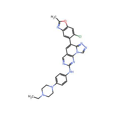 CCN1CCN(c2ccc(Nc3ncc4cc(-c5cc6nc(C)oc6cc5Cl)c5nncn5c4n3)cc2)CC1